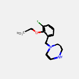 O=C(O)COc1c(F)cccc1CN1CCNCC1